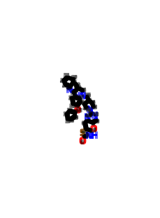 O=C1NC(=O)/C(=C\c2ccnc(N3CCC(CNCc4cc5ccccc5nc4-c4ccc(Oc5ccccc5)cc4)CC3)n2)S1